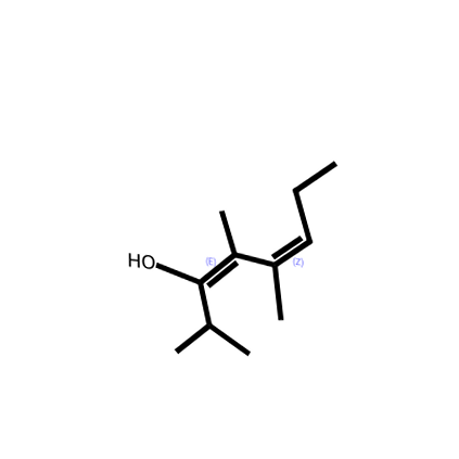 CC/C=C(C)\C(C)=C(\O)C(C)C